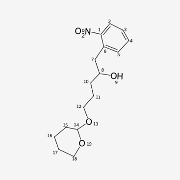 O=[N+]([O-])c1ccccc1CC(O)CCCOC1CCCCO1